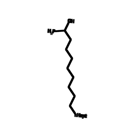 CCCCCCCCCCCCCCCC(O)P